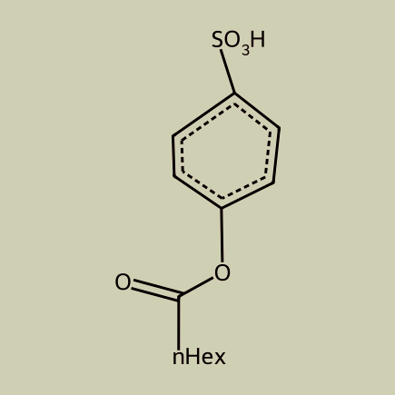 CCCCCCC(=O)Oc1ccc(S(=O)(=O)O)cc1